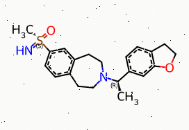 C[C@H](c1ccc2c(c1)OCC2)N1CCc2ccc([S@@](C)(=N)=O)cc2CC1